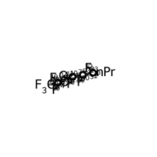 CCCc1ccc(-c2ccc(-c3ccc(C(=O)Oc4cc(F)c(C(F)(F)F)c(F)c4)c(F)c3)c(F)c2)c(F)c1